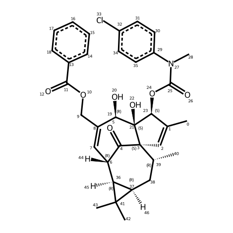 CC1=C[C@]23C(=O)[C@@H](C=C(COC(=O)c4ccccc4)[C@@H](O)[C@]2(O)[C@H]1OC(=O)N(C)c1ccc(Cl)cc1)[C@H]1[C@@H](C[C@H]3C)C1(C)C